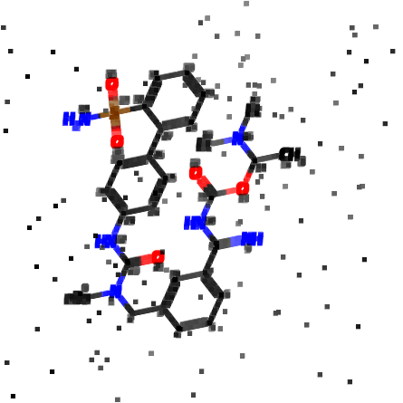 CCCCN(Cc1cccc(C(=N)NC(=O)OC(C)N(CC)CC)c1)C(=O)Nc1ccc(-c2ccccc2S(N)(=O)=O)cc1